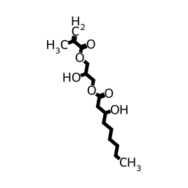 C=C(C)C(=O)OCC(O)COC(=O)CC(O)CCCCCC